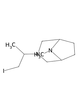 CC(CI)N1CC2CCC(C1)N2C